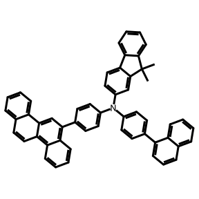 CC1(C)c2ccccc2-c2ccc(N(c3ccc(-c4cccc5ccccc45)cc3)c3ccc(-c4cc5c6ccccc6ccc5c5ccccc45)cc3)cc21